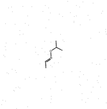 C/[C]=N/OC(C)C